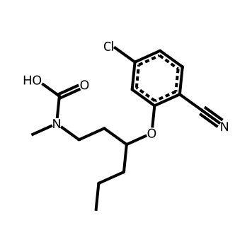 CCCC(CCN(C)C(=O)O)Oc1cc(Cl)ccc1C#N